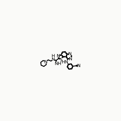 N#Cc1cccc(Nc2ncnc3ccc4nc(C(=N)NCCN5CCCCC5)sc4c23)c1